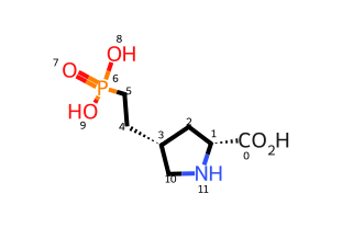 O=C(O)[C@H]1C[C@@H](CCP(=O)(O)O)CN1